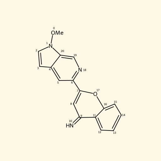 COn1ccc2cc(-c3cc(=N)c4ccccc4o3)ncc21